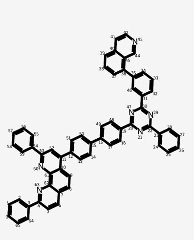 c1ccc(-c2ccc3ccc4c(-c5ccc(-c6ccc(-c7nc(-c8ccccc8)nc(-c8cccc(-c9cccc%10ccncc9%10)c8)n7)cc6)cc5)cc(-c5ccccc5)nc4c3n2)cc1